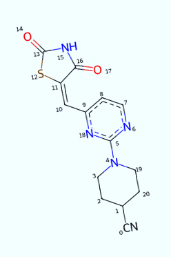 N#CC1CCN(c2nccc(/C=C3/SC(=O)NC3=O)n2)CC1